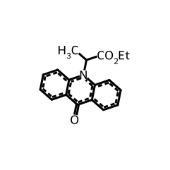 CCOC(=O)C(C)n1c2ccccc2c(=O)c2ccccc21